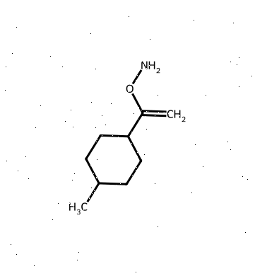 C=C(ON)C1CCC(C)CC1